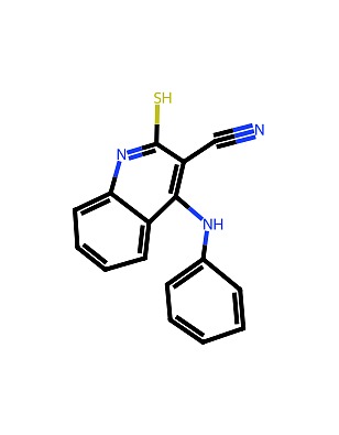 N#Cc1c(S)nc2ccccc2c1Nc1ccccc1